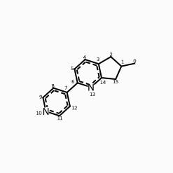 CC1Cc2ccc(-c3ccncc3)nc2C1